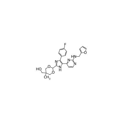 CC1(CO)COC(c2nc(-c3ccc(F)cc3)c(-c3ccnc(NCc4ccco4)n3)[nH]2)OC1